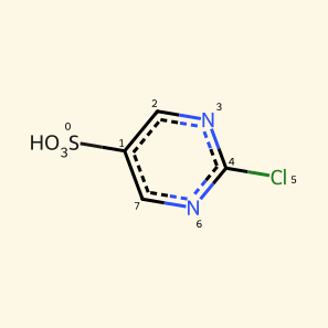 O=S(=O)(O)c1cnc(Cl)nc1